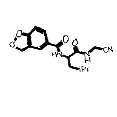 CC(C)CC(NC(=O)c1ccc2c(c1)COO2)C(=O)NCC#N